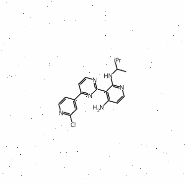 CC(C)C(C)Nc1nccc(N)c1-c1nccc(-c2ccnc(Cl)c2)n1